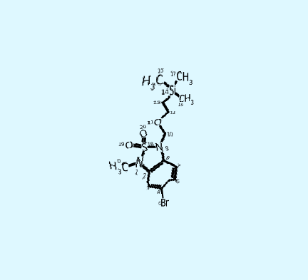 CN1c2cc(Br)ccc2N(COCC[Si](C)(C)C)S1(=O)=O